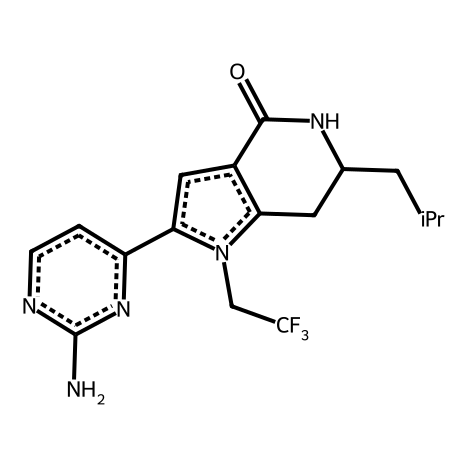 CC(C)CC1Cc2c(cc(-c3ccnc(N)n3)n2CC(F)(F)F)C(=O)N1